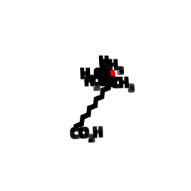 C[SiH](C)O[Si](C)(C)CCCCCCCCCCC(=O)O